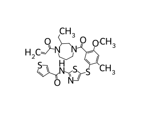 C=CC(=O)N1CCCN(C(=O)c2cc(Sc3cnc(NC(=O)c4ccsc4)s3)c(C)cc2OC)CC1CC